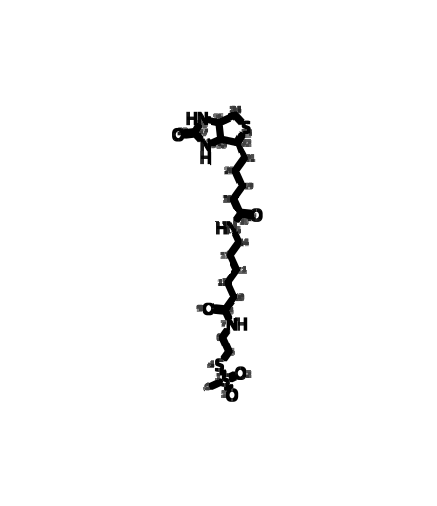 CS(=O)(=O)SCCNC(=O)CCCCCNC(=O)CCCC[C@@H]1SCC2NC(=O)NC21